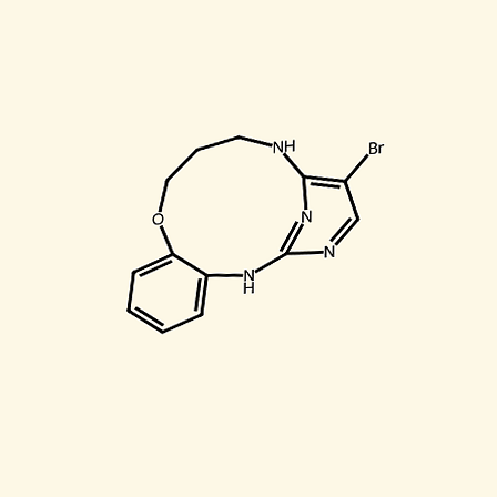 Brc1cnc2nc1NCCCOc1ccccc1N2